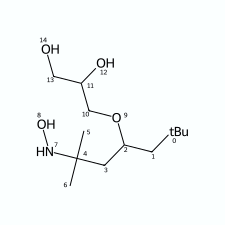 CC(C)(C)CC(CC(C)(C)NO)OCC(O)CO